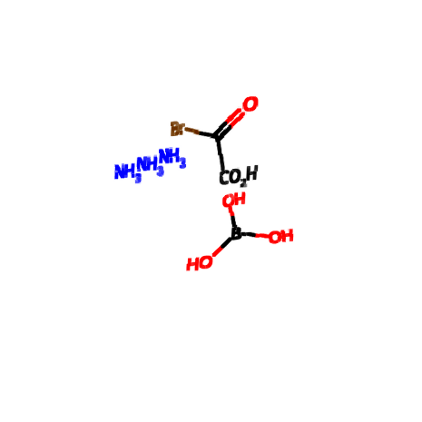 N.N.N.O=C(O)C(=O)Br.OB(O)O